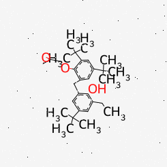 CCc1cc(C(C)(C)C)cc(Cc2cc(C(C)(C)C)cc(C(C)(C)C)c2OCC2CO2)c1O